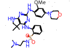 COc1cc(N2CCOCC2)ccc1Nc1nc2c(c(Nc3ccccc3S(=O)(=O)NCCN(C)C)n1)C(C)(C)CN2